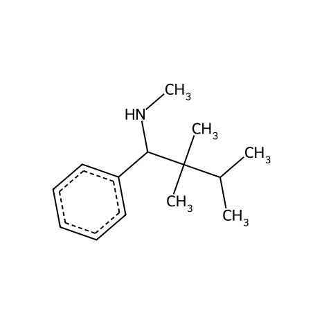 CNC(c1ccccc1)C(C)(C)C(C)C